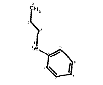 CCC[Se]c1ccccc1